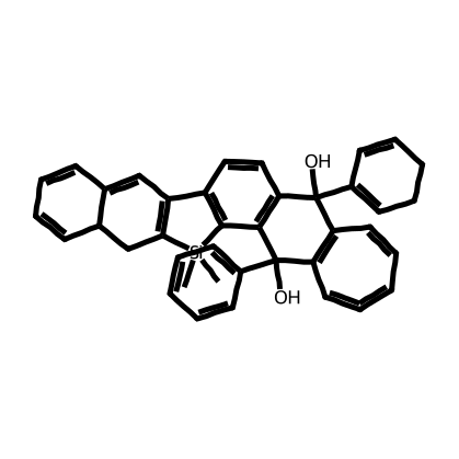 C[Si]1(C)C2=C(C=C3C=CC=CC3C2)c2ccc3c(c21)C(O)(c1ccccc1)C1=C(C=CC=C=C1)C3(O)C1=CCCC=C1